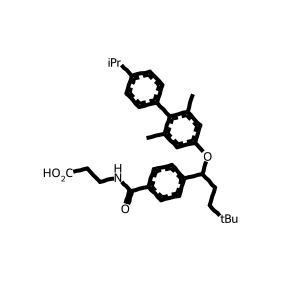 Cc1cc(OC(CCC(C)(C)C)c2ccc(C(=O)NCCC(=O)O)cc2)cc(C)c1-c1ccc(C(C)C)cc1